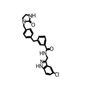 O=C(NCc1n[nH]c2ccc(Cl)cc12)c1cccc(Cc2ccc(CN3CCNC3=O)cc2)c1